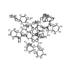 COC(=O)[C@H](CC(C)C)NC(=O)[C@@H](Cc1c[nH]c2ccccc12)NC(=O)[C@H](Cc1ccc(OC(C)(C)C)cc1)NC(=O)[C@H](COC(C)(C)C)NC(=O)[C@H](Cc1cn(C(=O)OC(C)(C)C)c2ccccc12)NC(=O)OCC1c2ccccc2-c2ccccc21